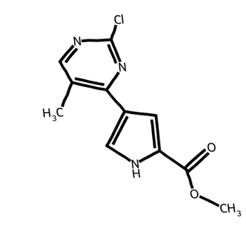 COC(=O)c1cc(-c2nc(Cl)ncc2C)c[nH]1